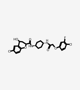 O=C(COc1ccc(Cl)c(F)c1)N[C@H]1CC[C@H](NC(=O)C2CC(O)c3cc(Cl)ccc3O2)CC1